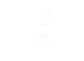 C1CCC(OC2CCCCC2)CC1.[O]